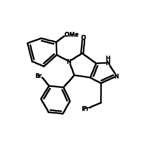 COc1ccccc1N1C(=O)c2[nH]nc(CC(C)C)c2C1c1ccccc1Br